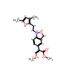 COC=C(C(=O)OC)c1ccc2c(c1)CON2CCc1oc(C)cc1C